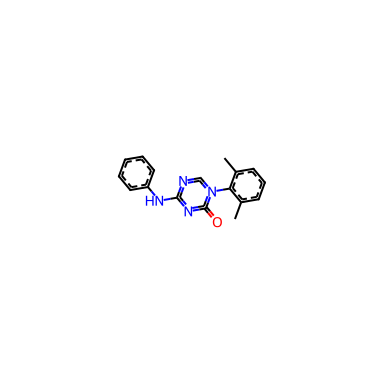 Cc1cccc(C)c1-n1cnc(Nc2ccccc2)nc1=O